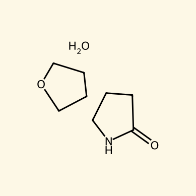 C1CCOC1.O.O=C1CCCN1